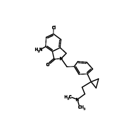 CN(C)CCC1(c2cccc(CN3Cc4cc(Cl)cc(N)c4C3=O)c2)CC1